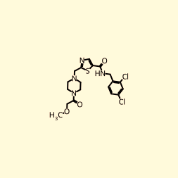 COCC(=O)N1CCN(Cc2ncc(C(=O)NCc3ccc(Cl)cc3Cl)s2)CC1